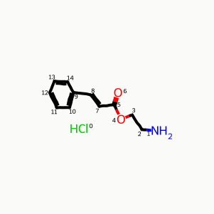 Cl.NCCOC(=O)C=Cc1ccccc1